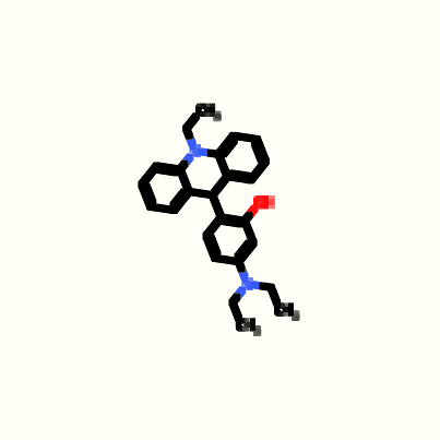 CCN(CC)c1ccc(C2c3ccccc3N(CC)c3ccccc32)c(O)c1